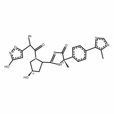 Cc1ncsc1-c1ccc([C@]2(C)NC(C3C[C@@H](O)CN3C(=O)C(c3cc(O)no3)C(C)C)=NC2=O)cc1